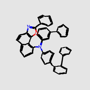 c1ccc(-c2cccc(N(c3ccc(-c4ccccc4-c4ccccc4)cc3)c3cccc4ccc5nc(-c6ccccc6)oc5c34)c2)cc1